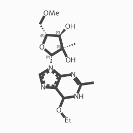 CCOC1NC(C)=Nc2c1ncn2[C@@H]1O[C@H](COC)[C@@H](O)[C@@]1(C)O